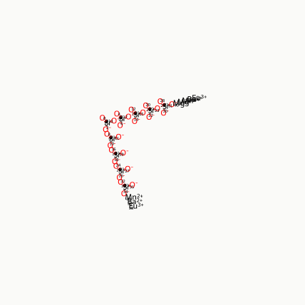 O=[Si]([O-])[O-].O=[Si]([O-])[O-].O=[Si]([O-])[O-].O=[Si]([O-])[O-].O=[Si]([O-])[O-].O=[Si]([O-])[O-].O=[Si]([O-])[O-].O=[Si]([O-])[O-].O=[Si]([O-])[O-].[Ba+2].[Ba+2].[Eu+3].[Eu+3].[Mg+2].[Mg+2].[Mn+2].[Mn+2]